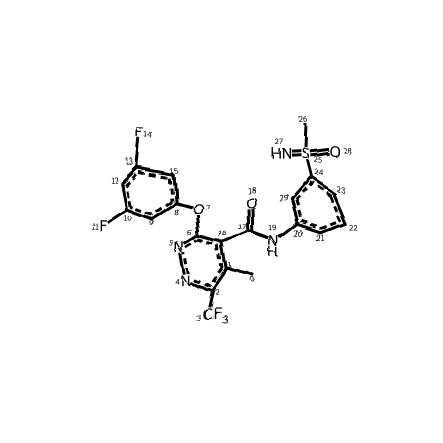 Cc1c(C(F)(F)F)nnc(Oc2cc(F)cc(F)c2)c1C(=O)Nc1cccc(S(C)(=N)=O)c1